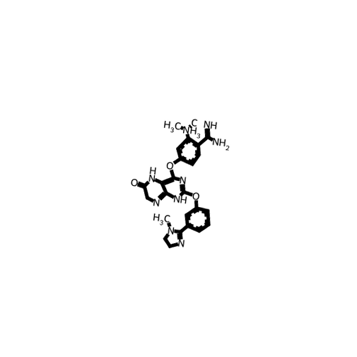 CN1CCN=C1c1cccc(OC2=NC(Oc3ccc(C(=N)N)c(N(C)C)c3)=C3NC(=O)CN=C3N2)c1